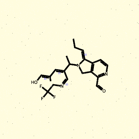 CC/C=C1/c2ccnc(C=O)c2CN1C(C)C(/C=N\CC(F)(F)F)=C/C(C)=C/O